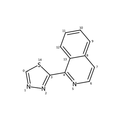 [c]1nnc(-c2nccc3ccccc23)s1